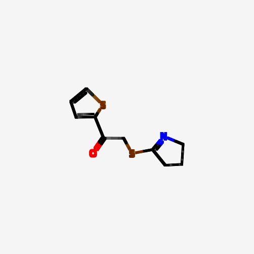 O=C(CSC1=NCCC1)c1cccs1